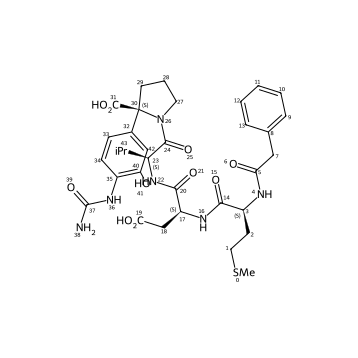 CSCC[C@H](NC(=O)Cc1ccccc1)C(=O)N[C@@H](CC(=O)O)C(=O)N[C@H](C(=O)N1CCC[C@@]1(C(=O)O)c1ccc(NC(N)=O)c(O)c1)C(C)C